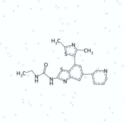 CCNC(=O)Nc1nc2cc(-c3cccnc3)cc(-c3sc(C)nc3C)c2s1